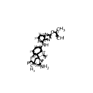 C#C[C@H](C)Oc1cnc2c(Nc3ccc(F)c([C@]4(CF)C[C@](C)(CF)SC(N)=N4)c3)nccc2n1